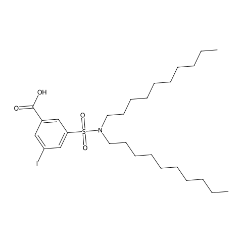 CCCCCCCCCCN(CCCCCCCCCC)S(=O)(=O)c1cc(I)cc(C(=O)O)c1